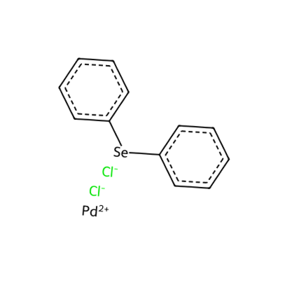 [Cl-].[Cl-].[Pd+2].c1ccc([Se]c2ccccc2)cc1